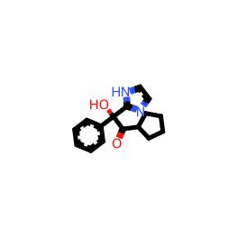 O=C(C1CCCC1)C(O)(c1ccccc1)c1ncc[nH]1